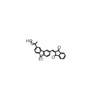 CCn1c2ccc(C=C3C(=O)c4ccccc4C3=O)cc2c2cc(/C(C)=N/O)ccc21